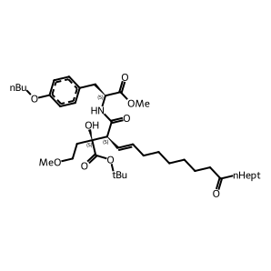 CCCCCCCC(=O)CCCCCCC=C[C@H](C(=O)N[C@@H](Cc1ccc(OCCCC)cc1)C(=O)OC)[C@@](O)(CCOC)C(=O)OC(C)(C)C